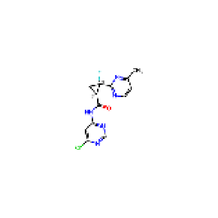 Cc1ccnc([C@@]2(F)C[C@@H]2C(=O)Nc2cc(Cl)ncn2)n1